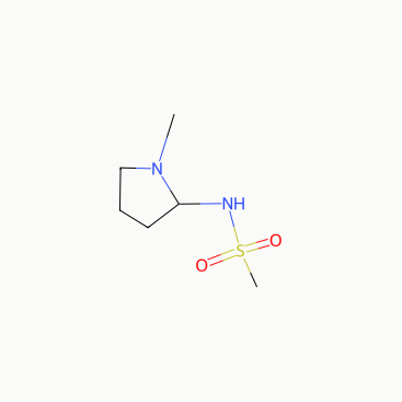 CN1CCCC1NS(C)(=O)=O